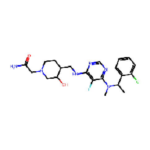 CC(c1ccccc1Cl)N(C)c1ncnc(NCC2CCN(CC(N)=O)CC2O)c1F